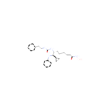 O=C(CCCCC[C@H](NC(=O)NCCc1ccccc1)C(Nc1ccccc1)=C1CC1)NO